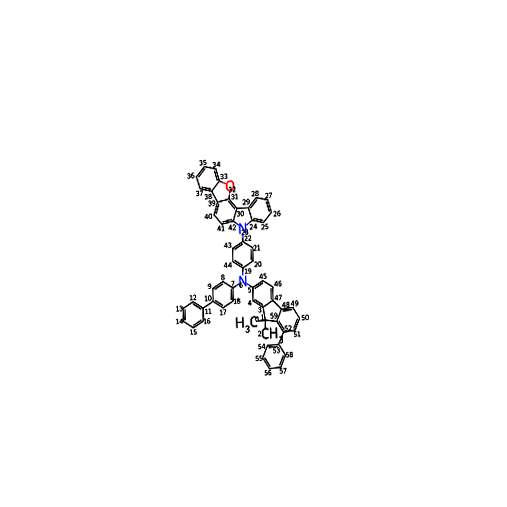 CC1(C)c2cc(N(c3ccc(-c4ccccc4)cc3)c3ccc(-n4c5ccccc5c5c6oc7ccccc7c6ccc54)cc3)ccc2-c2cccc(-c3ccccc3)c21